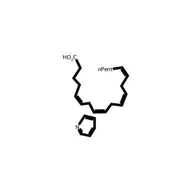 CCCCC/C=C\C/C=C\C/C=C\C/C=C\CCCC(=O)O.c1ccncc1